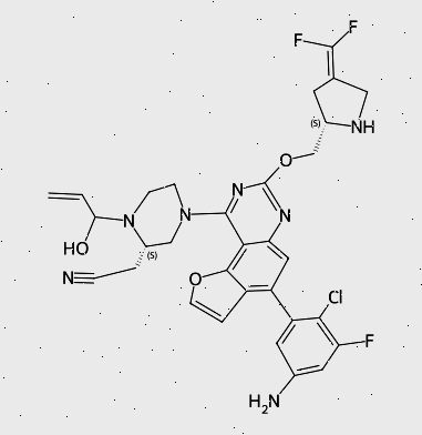 C=CC(O)N1CCN(c2nc(OC[C@@H]3CC(=C(F)F)CN3)nc3cc(-c4cc(N)cc(F)c4Cl)c4ccoc4c23)C[C@@H]1CC#N